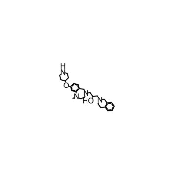 CN1CCN(CC(O)CN2CCc3ccccc3C2)Cc2ccc(OC3CCNCC3)cc21